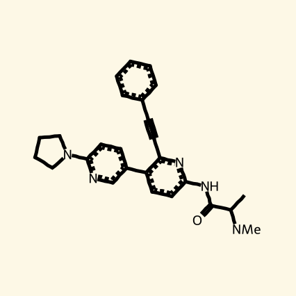 CNC(C)C(=O)Nc1ccc(-c2ccc(N3CCCC3)nc2)c(C#Cc2ccccc2)n1